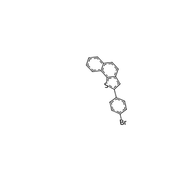 Brc1ccc(-c2cc3ccc4ccccc4c3s2)cc1